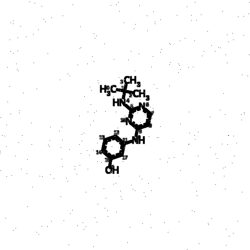 CC(C)(C)Nc1nccc(Nc2cccc(O)c2)n1